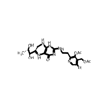 CCc1cnc(CCNc2nc(=O)c3c([nH]2)NC[C@H]([C@@H](O)[C@H](C)O)N3)c(OC(C)=O)c1COC(C)=O